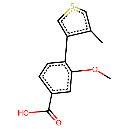 COc1cc(C(=O)O)ccc1-c1cscc1C